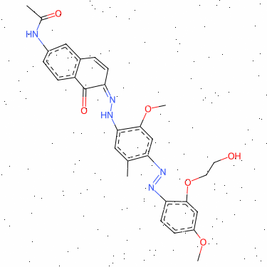 COc1ccc(/N=N/c2cc(OC)c(N/N=C3/C=Cc4cc(NC(C)=O)ccc4C3=O)cc2C)c(OCCO)c1